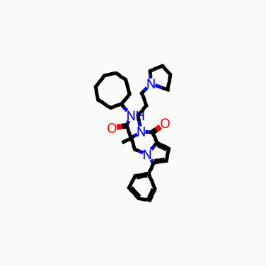 CC1(C(=O)NC2CCCCCCC2)Cn2c(ccc2-c2ccccc2)C(=O)N1CCCN1CCCC1